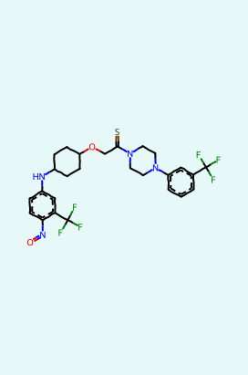 O=Nc1ccc(NC2CCC(OCC(=S)N3CCN(c4cccc(C(F)(F)F)c4)CC3)CC2)cc1C(F)(F)F